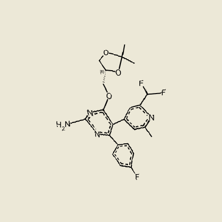 Cc1cc(-c2c(OC[C@@H]3COC(C)(C)O3)nc(N)nc2-c2ccc(F)cc2)cc(C(F)F)n1